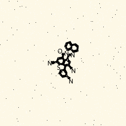 N#Cc1ccc2c(c1)-c1c(C#N)cc3c4c1c(c(C#N)cc4c(=O)n1c4cccc5cccc(nc31)c54)S2